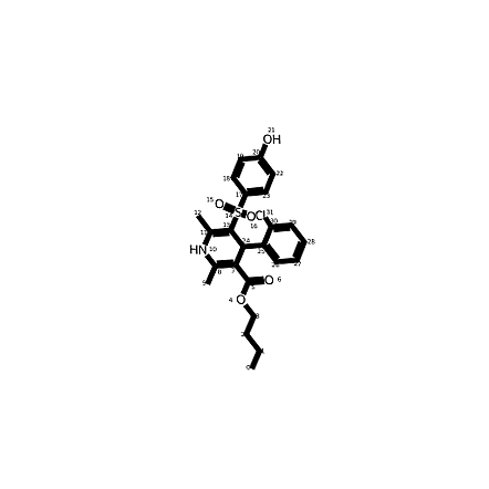 CCCCOC(=O)C1=C(C)NC(C)=C(S(=O)(=O)c2ccc(O)cc2)C1c1ccccc1Cl